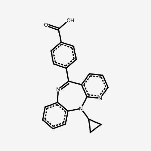 O=C(O)c1ccc(C2=Nc3ccccc3N(C3CC3)c3ncccc32)cc1